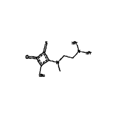 CCCN(CCC)CCN(C)c1c(C(C)(C)C)c(=O)c1=S